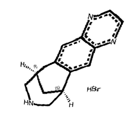 Br.c1cnc2cc3c(cc2n1)[C@@H]1CNC[C@H]3C1